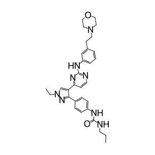 CCCNC(=O)Nc1ccc(-c2nn(CC)cc2-c2ccnc(Nc3cccc(CCN4CCOCC4)c3)n2)cc1